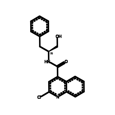 O=C(N[C@H](CO)Cc1ccccc1)c1cc(Cl)nc2ccccc12